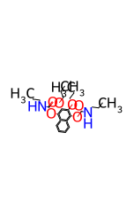 CCCNC(=O)Oc1c(OCCC)c(OCCC)c(OC(=O)NCCC)c2ccccc12